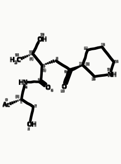 CC(=O)[C@@H](CO)NC(=O)[C@@H](CC(=O)[C@H]1CCCNC1)[C@H](C)O